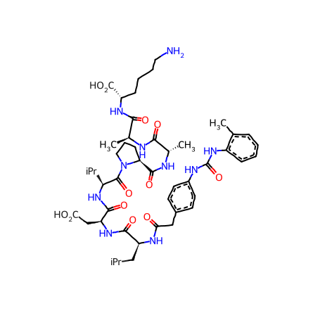 Cc1ccccc1NC(=O)Nc1ccc(CC(=O)N[C@@H](CC(C)C)C(=O)N[C@@H](CC(=O)O)C(=O)N[C@H](C(=O)N2CCC[C@H]2C(=O)N[C@@H](C)C(=O)N[C@@H](C)C(=O)N[C@@H](CCCCN)C(=O)O)C(C)C)cc1